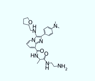 CC(NC(=O)c1cccn2c(NCC3CCCO3)c(-c3ccc(N(C)C)cc3)nc12)C(=O)NCCN